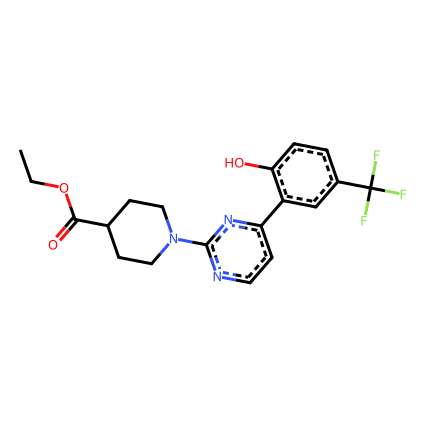 CCOC(=O)C1CCN(c2nccc(-c3cc(C(F)(F)F)ccc3O)n2)CC1